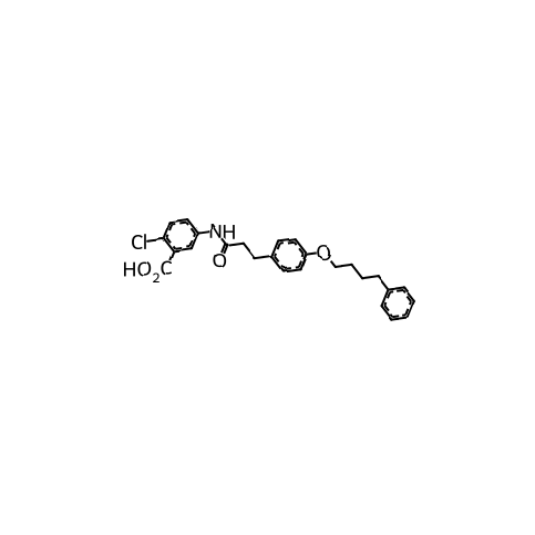 O=C(CCc1ccc(OCCCCc2ccccc2)cc1)Nc1ccc(Cl)c(C(=O)O)c1